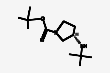 CC(C)(C)N[C@H]1CCN(C(=O)OC(C)(C)C)C1